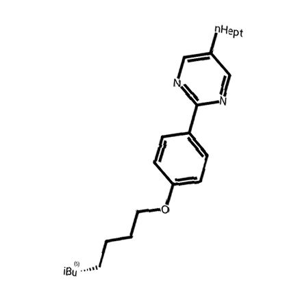 CCCCCCCc1cnc(-c2ccc(OCCCC[C@@H](C)CC)cc2)nc1